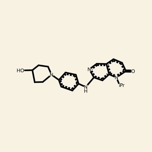 CC(C)n1c(=O)ccc2cnc(Nc3ccc(N4CCC(O)CC4)cc3)cc21